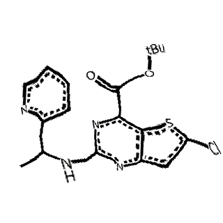 CC(Nc1nc(C(=O)OC(C)(C)C)c2sc(Cl)cc2n1)c1ccccn1